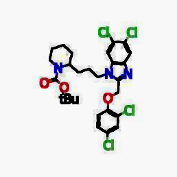 CC(C)(C)OC(=O)N1CCCCC1CCCn1c(COc2ccc(Cl)cc2Cl)nc2cc(Cl)c(Cl)cc21